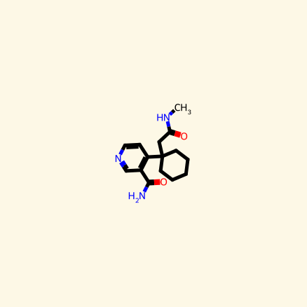 CNC(=O)CC1(c2ccncc2C(N)=O)CCCCC1